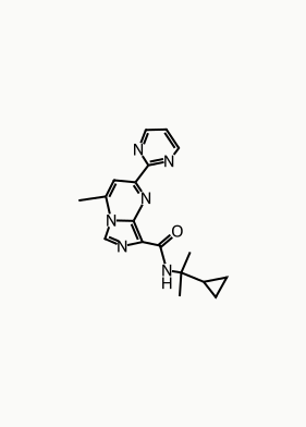 Cc1cc(-c2ncccn2)nc2c(C(=O)NC(C)(C)C3CC3)ncn12